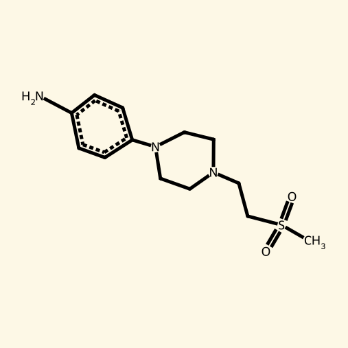 CS(=O)(=O)CCN1CCN(c2ccc(N)cc2)CC1